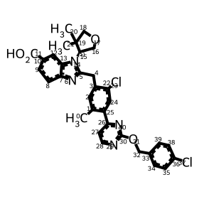 Cc1cc(Cc2nc3ccc(C(=O)O)cc3n2[C@@H]2COCC2(C)C)c(Cl)cc1-c1ccnc(OCc2ccc(Cl)cc2)n1